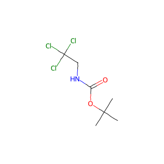 CC(C)(C)OC(=O)NCC(Cl)(Cl)Cl